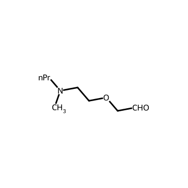 CCCN(C)CCOCC=O